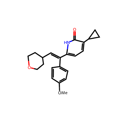 COc1ccc(/C(=C\C2CCOCC2)c2ccc(C3CC3)c(=O)[nH]2)cc1